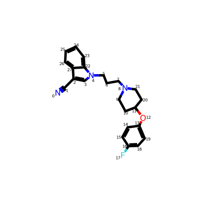 N#Cc1cn(CCCN2CCC(Oc3ccc(F)cc3)CC2)c2ccccc12